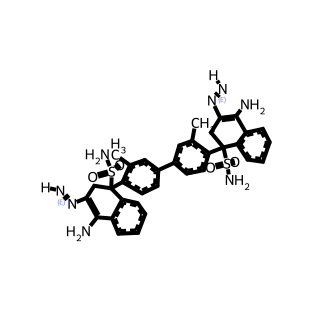 [H]/N=N/C1=C(N)c2ccccc2C(c2ccc(-c3ccc(C4(S(N)(=O)=O)CC(/N=N/[H])=C(N)c5ccccc54)c(C)c3)cc2C)(S(N)(=O)=O)C1